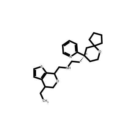 CCC1COC(CNCC[C@@]2(c3ccccn3)CCOC3(CCCC3)C2)c2sccc21